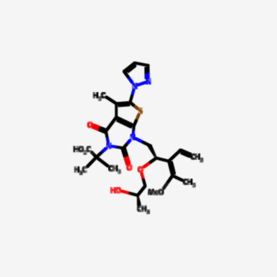 C=C/C(=C(\C)OC)[C@H](Cn1c(=O)n(C(C)(C)C(=O)O)c(=O)c2c(C)c(-n3cccn3)sc21)OC[C@@H](C)O